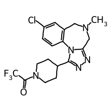 CN1Cc2cc(Cl)ccc2-n2c(nnc2C2CCN(C(=O)C(F)(F)F)CC2)C1